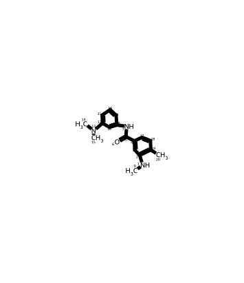 CNc1cc(C(=O)Nc2cccc(N(C)C)c2)ccc1C